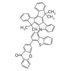 CC1(C)c2ccccc2-c2c3c(c4c(c21)c1ccccc1n4-c1ccc(-c2ccc4c(=O)c5ccccc5oc4c2)c2sc4ccccc4c12)C(C)(C)c1ccccc1-3